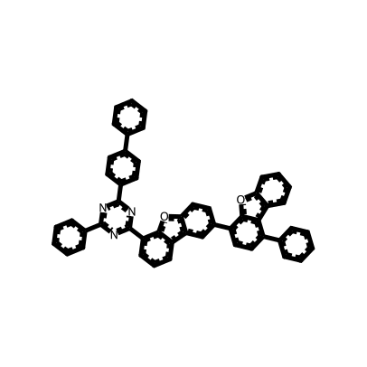 c1ccc(-c2ccc(-c3nc(-c4ccccc4)nc(-c4cccc5c4oc4ccc(-c6ccc(-c7ccccc7)c7c6oc6ccccc67)cc45)n3)cc2)cc1